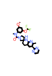 COc1cc(OC(F)F)cc(N(C)C(=O)N2CCC3(CCc4cc(-c5ncccn5)c(C)nc4N3)C2)c1